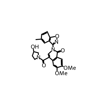 COc1cc2c(C(=O)N3CCC(O)C3)cn(-c3noc4ccc(C)cc34)c(=O)c2cc1OC